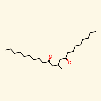 CCCCCCCCCC(=O)CC(C)CC(=O)CCCCCCCC